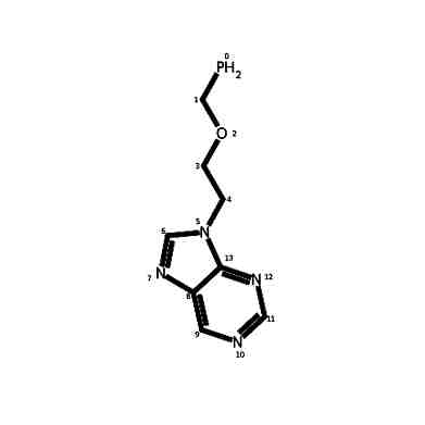 PCOCCn1cnc2cncnc21